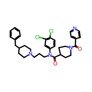 O=C(c1ccncc1)N1CCC(C(=O)N(CCCN2CCC(Cc3ccccc3)CC2)c2ccc(Cl)c(Cl)c2)CC1